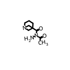 CC(=O)N(N)C(=O)C12CCCN(C1)C2